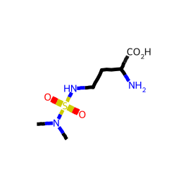 CN(C)S(=O)(=O)NCCC(N)C(=O)O